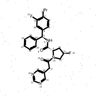 CC(C)c1ccc([C@@H](NC(=O)[C@@H]2C[C@@H](F)CN2C(=O)Cc2cncnc2)c2ccccc2)cc1F